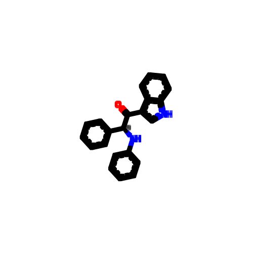 O=C(c1c[nH]c2ccccc12)[C@@H](Nc1ccccc1)c1ccccc1